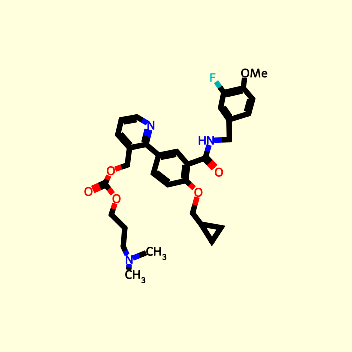 COc1ccc(CNC(=O)c2cc(-c3ncccc3COC(=O)OCCCN(C)C)ccc2OCC2CC2)cc1F